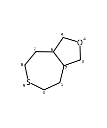 C1CC2COCC2CCS1